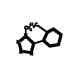 [CH2]c1ccccc1-c1nnnn1C